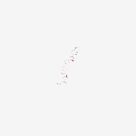 CC(C)C1=CC23CCC4C(C)(OC=O)CCCC4(C)C2CC1C1C(=O)N(c2ccc(Cc4ccc(N5C(=O)C6C7CC8C9(C)CCCC(C)(C(=O)O)C9CCC8(C=C7C(C)C)C6C5=O)cc4)cc2)C(=O)C13